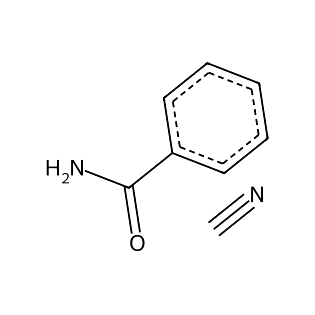 C#N.NC(=O)c1ccccc1